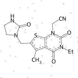 CCn1c(=O)c2c(C)c(CN3CCNC3=O)sc2n(CC#N)c1=O